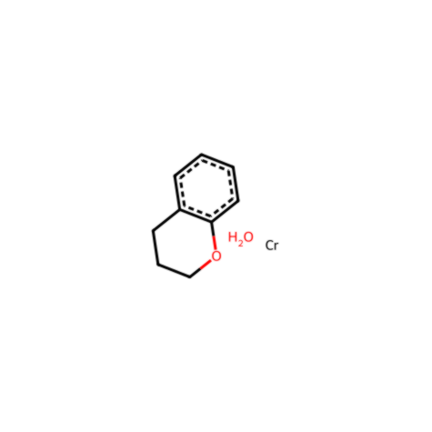 O.[Cr].c1ccc2c(c1)CCCO2